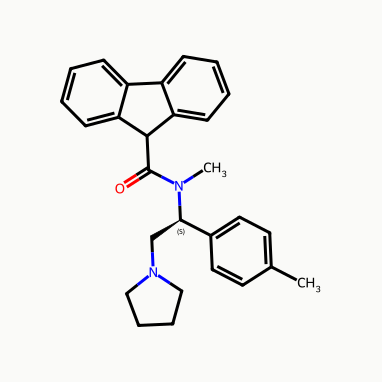 Cc1ccc([C@@H](CN2CCCC2)N(C)C(=O)C2c3ccccc3-c3ccccc32)cc1